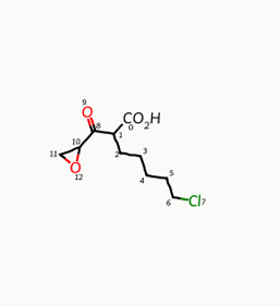 O=C(O)C(CCCCCCl)C(=O)C1CO1